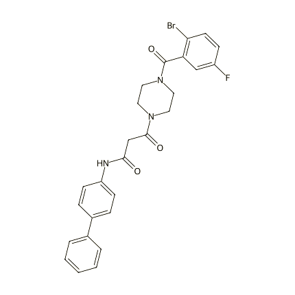 O=C(CC(=O)N1CCN(C(=O)c2cc(F)ccc2Br)CC1)Nc1ccc(-c2ccccc2)cc1